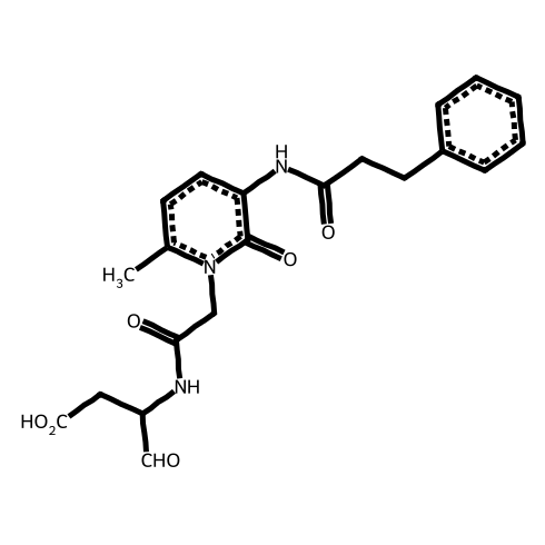 Cc1ccc(NC(=O)CCc2ccccc2)c(=O)n1CC(=O)NC(C=O)CC(=O)O